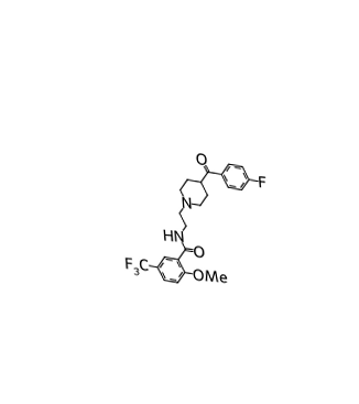 COc1ccc(C(F)(F)F)cc1C(=O)NCCN1CCC(C(=O)c2ccc(F)cc2)CC1